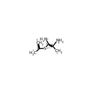 C=C(C)S/C(N)=C(\C)N